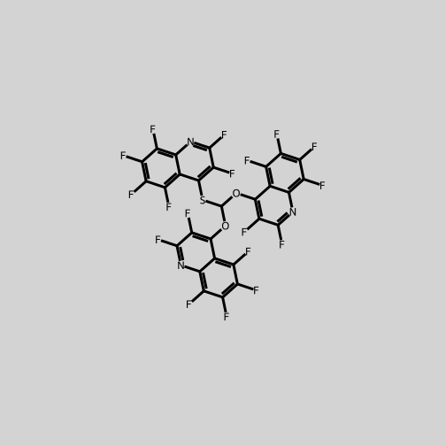 Fc1nc2c(F)c(F)c(F)c(F)c2c(OC(Oc2c(F)c(F)nc3c(F)c(F)c(F)c(F)c23)Sc2c(F)c(F)nc3c(F)c(F)c(F)c(F)c23)c1F